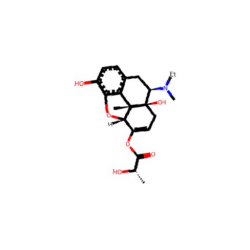 CCN(C)[C@@H]1Cc2ccc(O)c3c2[C@@]2(C)[C@@H](O3)C(OC(=O)[C@H](C)O)=CC[C@@]12O